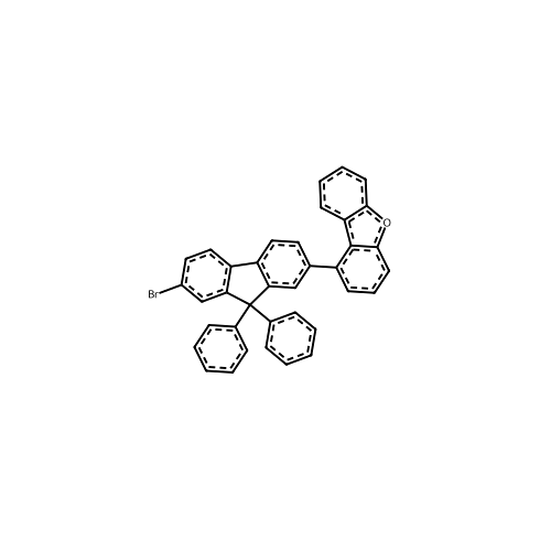 Brc1ccc2c(c1)C(c1ccccc1)(c1ccccc1)c1cc(-c3cccc4oc5ccccc5c34)ccc1-2